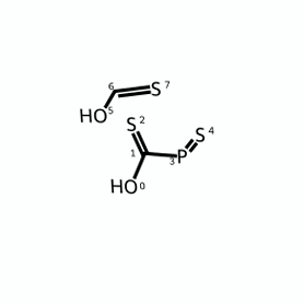 OC(=S)P=S.OC=S